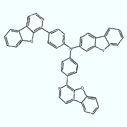 c1ccc2c(c1)oc1c(-c3ccc(N(c4ccc(-c5nccc6c5oc5ccccc56)cc4)c4ccc5c(c4)sc4ccccc45)cc3)nccc12